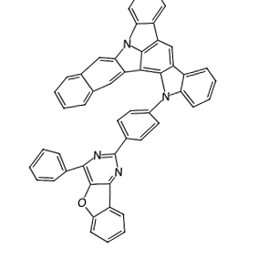 c1ccc(-c2nc(-c3ccc(-n4c5ccccc5c5cc6c7ccccc7n7c8cc9ccccc9cc8c(c54)c67)cc3)nc3c2oc2ccccc23)cc1